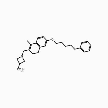 CC1=C(CN2CC(C(=O)O)C2)CCc2cc(OCCCCCc3ccccc3)ccc21